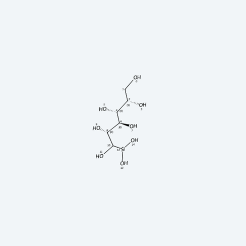 OC[C@H](O)[C@@H](O)[C@@H](O)[C@@H](O)C(O)[Si](O)O